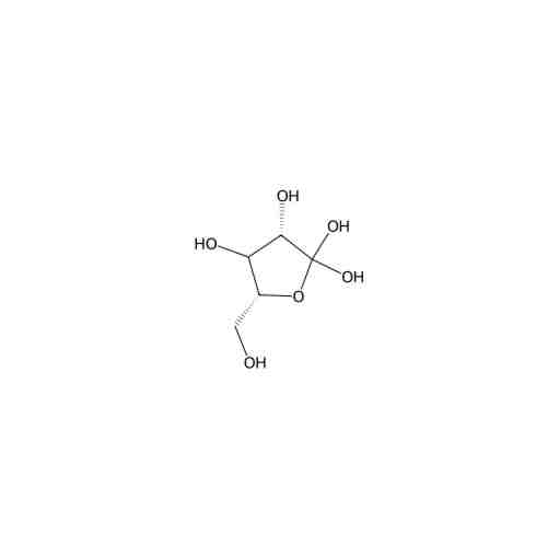 OC[C@H]1OC(O)(O)[C@@H](O)C1O